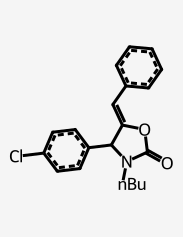 CCCCN1C(=O)OC(=Cc2ccccc2)C1c1ccc(Cl)cc1